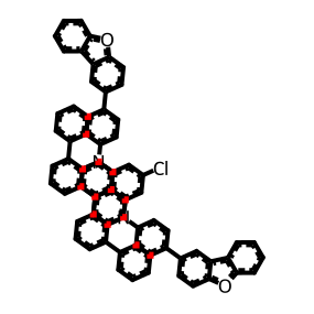 Clc1cc(N(c2ccc(-c3ccc4oc5ccccc5c4c3)cc2)c2c(-c3ccccc3)cccc2-c2ccccc2)cc(N(c2ccc(-c3ccc4oc5ccccc5c4c3)cc2)c2c(-c3ccccc3)cccc2-c2ccccc2)c1